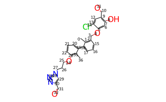 Cc1c(COc2cc(O)c(C=O)cc2Cl)cccc1-c1cccc(OCCCn2cc(C=O)nn2)c1C